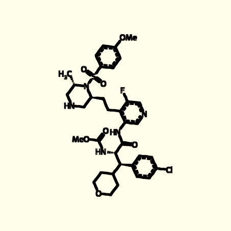 COC(=O)N[C@H](C(=O)Nc1cncc(F)c1CC[C@H]1CNC[C@H](C)N1S(=O)(=O)c1ccc(OC)cc1)[C@@H](c1ccc(Cl)cc1)C1CCOCC1